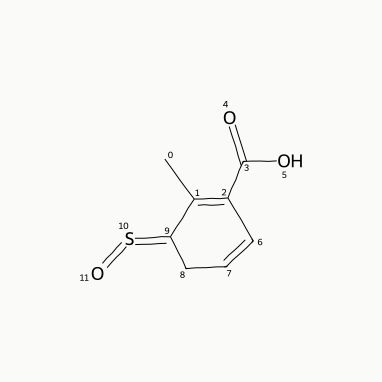 CC1=C(C(=O)O)C=CCC1=S=O